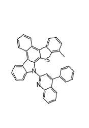 Cc1cccc2c1sc1c2c2ccccc2c2c3ccccc3n(-c3cc(-c4ccccc4)c4ccccc4n3)c12